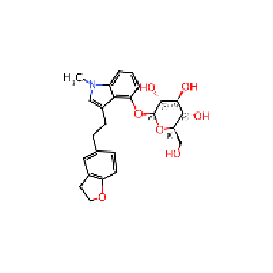 Cn1cc(CCc2ccc3c(c2)CCO3)c2c(O[C@@H]3O[C@H](CO)[C@@H](O)[C@H](O)[C@H]3O)cccc21